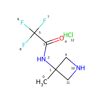 CC1(NC(=O)C(F)(F)F)CNC1.Cl